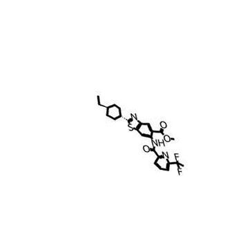 CC[C@H]1CC[C@H](c2nc3cc(C(=O)OC)c(NC(=O)c4cccc(C(C)(F)F)n4)cc3s2)CC1